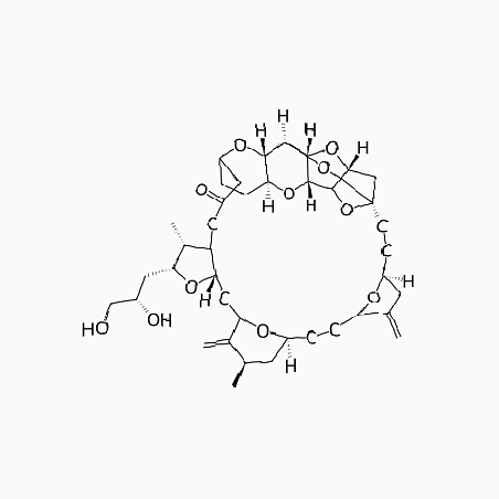 C=C1C[C@@H]2CC[C@@]34C[C@H]5O[C@H]6[C@@H](O3)[C@H]3OC(CC[C@@H]3O[C@H]6C5O4)CC(=O)CC3[C@H](CC4O[C@@H](CCC1O2)C[C@@H](C)C4=C)O[C@H](C[C@H](O)CO)[C@@H]3C